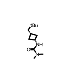 CN(C)C(=O)N[C@H]1C[C@@H](CC(C)(C)C)C1